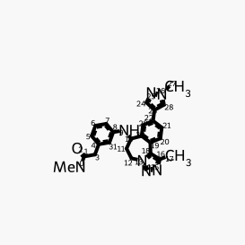 CNC(=O)Cc1cccc(NC2CCn3nnc(C)c3-c3ccc(-c4cnn(C)c4)cc32)c1